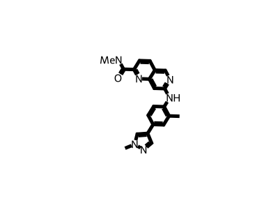 CNC(=O)c1ccc2cnc(Nc3ccc(-c4cnn(C)c4)cc3C)cc2n1